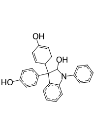 OC1=CCC(C2(c3ccc(O)cc3)c3ccccc3N(c3ccccc3)C2O)C=C1